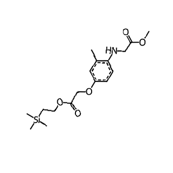 COC(=O)CNc1ccc(OCC(=O)OCC[Si](C)(C)C)cc1C